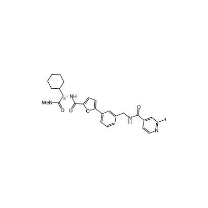 CNC(=O)[C@@H](NC(=O)c1ccc(-c2cccc(CNC(=O)c3ccnc(I)c3)c2)o1)C1CCCCC1